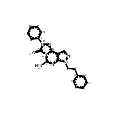 Nc1nc2c(cnn2CCc2ccccc2)c2nn(-c3ccccc3)c(=O)n12